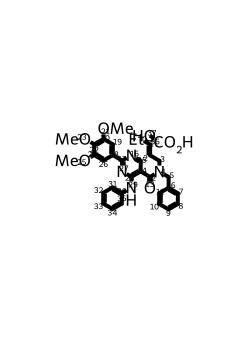 CC/C=C/CN(Cc1ccccc1)C(=O)c1cnc(-c2cc(OC)c(OC)c(OC)c2)nc1Nc1ccccc1.O=C(O)O